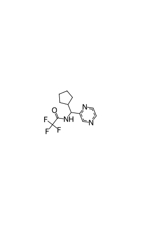 O=C(NC(c1cnccn1)C1CCCC1)C(F)(F)F